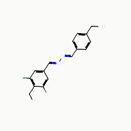 CCc1ccc(C=NN=Cc2cc(F)c(CC)c(F)c2)cc1